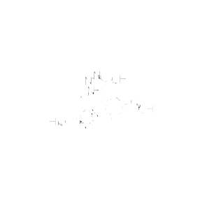 COc1ccc2c(c1)-c1c(C)nnn1Cc1c(CO)ncn1-2